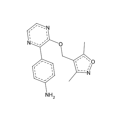 Cc1noc(C)c1COc1nccnc1-c1ccc(N)cc1